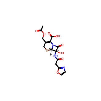 CC(=O)OCC1=C(C(=O)O)N2C(=O)[C@](O)(NC(=O)Cc3ncco3)[C@H]2SC1